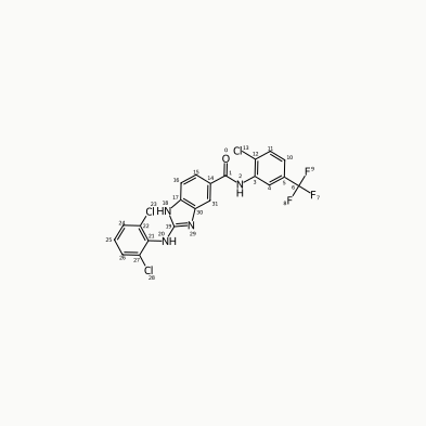 O=C(Nc1cc(C(F)(F)F)ccc1Cl)c1ccc2[nH]c(Nc3c(Cl)cccc3Cl)nc2c1